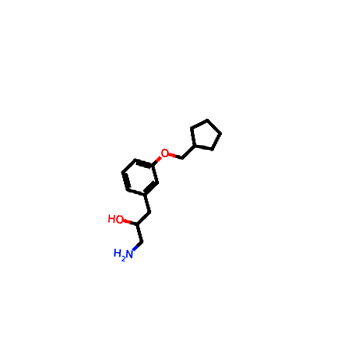 NCC(O)Cc1cccc(OCC2CCCC2)c1